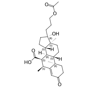 CC(=O)OCCC[C@]1(O)CC[C@H]2[C@@H]3[C@H](C(=O)O)[C@H](C)C4=CC(=O)CC[C@]4(C)[C@H]3CC[C@@]21C